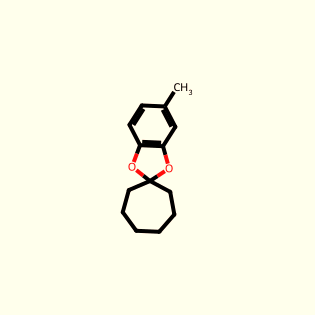 Cc1ccc2c(c1)OC1(CCCCCC1)O2